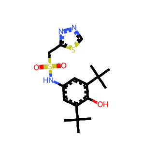 CC(C)(C)c1cc(NS(=O)(=O)Cc2nncs2)cc(C(C)(C)C)c1O